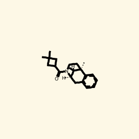 C[C@@H]1[C@H]2Cc3ccccc3[C@]1(C)CCN2C(=O)C1CC(C)(C)C1